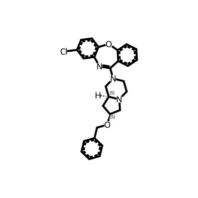 Clc1ccc2c(c1)N=C(N1CCN3C[C@@H](OCc4ccccc4)C[C@H]3C1)c1ccccc1O2